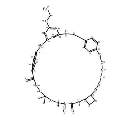 CC1(C)CNC(=O)C(=O)NC2CCC2OCCCCOc2ccc(cc2)CNc2nc(nc(OCC(F)(F)F)n2)Nc2ccc(cc2)C(=O)NC1